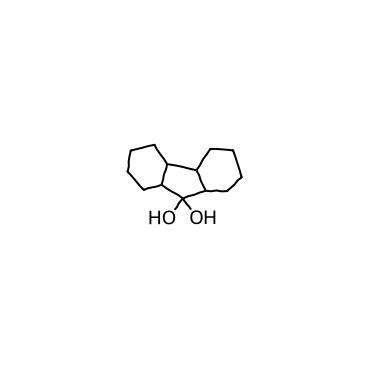 OC1(O)C2CCCCC2C2CCCCC21